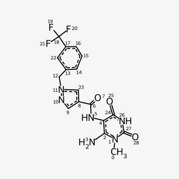 Cn1c(N)c(NC(=O)c2cnn(Cc3cccc(C(F)(F)F)c3)c2)c(=O)[nH]c1=O